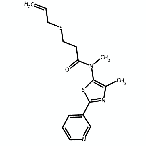 C=CCSCCC(=O)N(C)c1sc(-c2cccnc2)nc1C